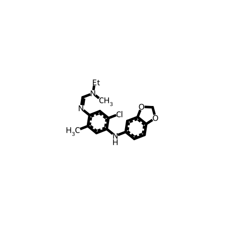 CCN(C)/C=N\c1cc(Cl)c(Nc2ccc3c(c2)OCO3)cc1C